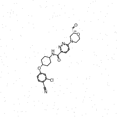 N#Cc1ccc(OC2CCC(NC(=O)c3ccc(N4CCO[C@@H](C=O)C4)nn3)CC2)cc1Cl